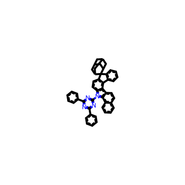 c1ccc(-c2nc(-c3ccccc3)nc(-n3c4ccc5c(c4c4ccc6ccccc6c43)-c3ccccc3C53C4CC5CC(C4)CC3C5)n2)cc1